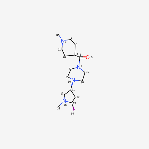 CN1CCC(C(=O)N2CCN([C@H]3C[C@@H](I)N(C)C3)CC2)CC1